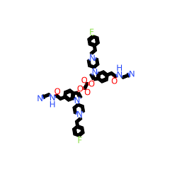 N#CCNC(=O)Cc1ccc2c(OC(=O)C(=O)Oc3cn(C4CCN(CCc5ccc(F)cc5)CC4)c4cc(CC(=O)NCC#N)ccc34)cn(C3CCN(CCc4ccc(F)cc4)CC3)c2c1